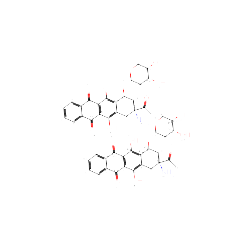 CC(=O)[C@]1(N)Cc2c(O)c3c(c(O)c2[C@@H](O[C@H]2C[C@H](O)[C@H](O)CO2)C1)C(=O)c1ccccc1C3=O.CC(=O)[C@]1(N)Cc2c(O)c3c(c(O)c2[C@@H](O[C@H]2C[C@H](O)[C@H](O)CO2)C1)C(=O)c1ccccc1C3=O